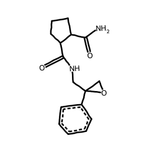 NC(=O)C1CCCC1C(=O)NCC1(c2ccccc2)CO1